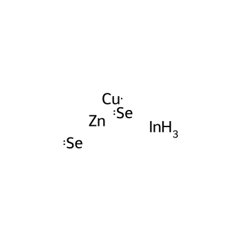 [Cu].[InH3].[Se].[Se].[Zn]